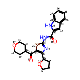 O=C(Nc1nc(C2CCCO2)c(C(=O)C2CCOCC2)s1)c1cc2ccccc2[nH]1